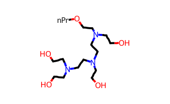 CCCOCCN(CCO)CCN(CCO)CCN(CCO)CCO